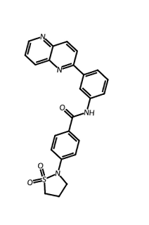 O=C(Nc1cccc(-c2ccc3ncccc3n2)c1)c1ccc(N2CCCS2(=O)=O)cc1